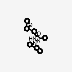 c1ccc(C2=NC(n3c4ccccc4c4cc5ccccc5cc43)Nc3c2oc2ccc(-c4cccc5c4oc4ccccc45)cc32)cc1